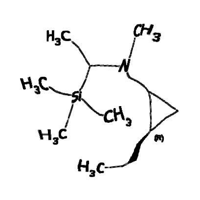 CC[C@@H]1CC1N(C)C(C)[Si](C)(C)C